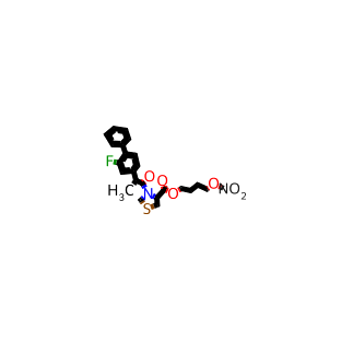 CC(C(=O)N1CSCC1C(=O)OCCCCO[N+](=O)[O-])c1ccc(-c2ccccc2)c(F)c1